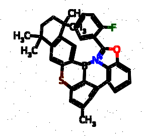 Cc1cc2c3c(c1)-c1cccc4oc(-c5ccccc5F)[n+](c14)B3c1cc3c(cc1S2)C(C)(C)CCC3(C)C